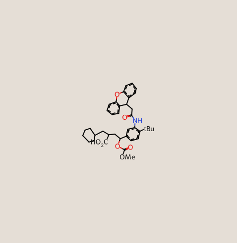 COC(=O)OC(CC(CC1CCCCC1)C(=O)O)c1ccc(C(C)(C)C)c(NC(=O)CC2c3ccccc3Oc3ccccc32)c1